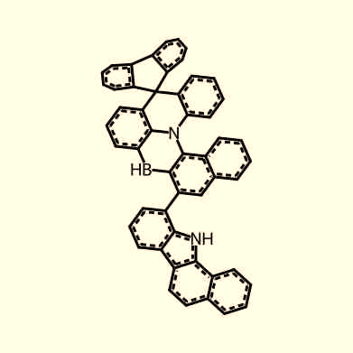 B1c2cccc3c2N(c2ccccc2C32c3ccccc3-c3ccccc32)c2c1c(-c1cccc3c1[nH]c1c4ccccc4ccc31)cc1ccccc21